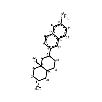 CC[C@@H]1CC[C@@H]2CC(c3ccc4cc(C(F)(F)F)ccc4c3)CCC2C1